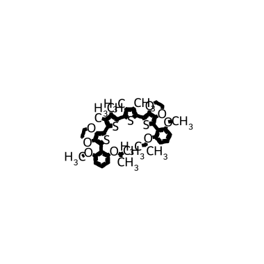 COc1cccc(OC(C)C)c1-c1sc(-c2sc(-c3sc(-c4sc(-c5c(OC)cccc5OC(C)C)c5c4OCCO5)c(C)c3C)c(C)c2C)c2c1OCCO2